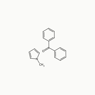 Cn1cccc1.O=C(c1ccccc1)c1ccccc1